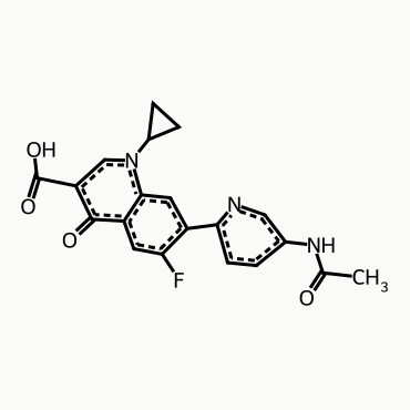 CC(=O)Nc1ccc(-c2cc3c(cc2F)c(=O)c(C(=O)O)cn3C2CC2)nc1